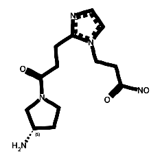 N[C@H]1CCN(C(=O)CCc2nccn2CCC(=O)N=O)C1